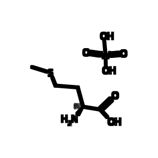 CSCC[C@H](N)C(=O)O.[O]=[W](=[O])([OH])[OH]